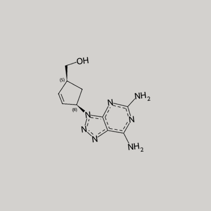 Nc1nc(N)c2nnn([C@H]3C=C[C@@H](CO)C3)c2n1